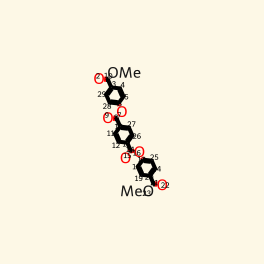 COC(=O)c1ccc(OC(=O)c2ccc(C(=O)Oc3ccc(C(=O)OC)cc3)cc2)cc1